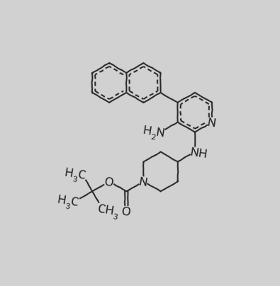 CC(C)(C)OC(=O)N1CCC(Nc2nccc(-c3ccc4ccccc4c3)c2N)CC1